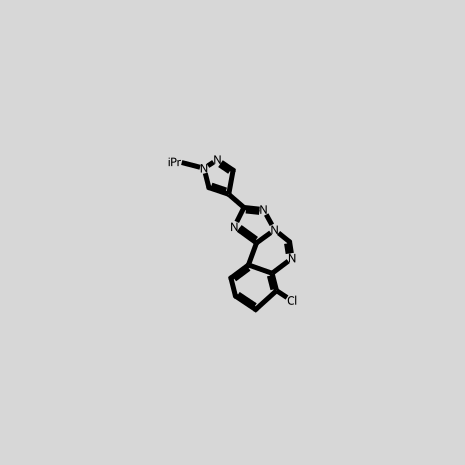 CC(C)n1cc(-c2nc3c4cccc(Cl)c4ncn3n2)cn1